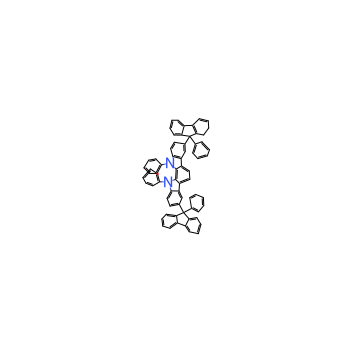 C1=CC2=C(CC1)C(c1ccccc1)(c1ccc3c(c1)c1ccc4c5cc(C6(c7ccccc7)c7ccccc7-c7ccccc76)ccc5n(-c5ccccc5)c4c1n3-c1ccccc1)c1ccccc12